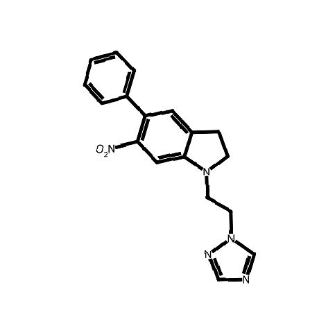 O=[N+]([O-])c1cc2c(cc1-c1ccccc1)CCN2CCn1cncn1